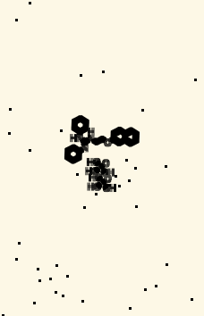 O=P(O)(O)O.O=P(O)(O)O.c1ccc2cc(OCCNC(=NC3CCCCC3)NC3CCCCC3)ccc2c1